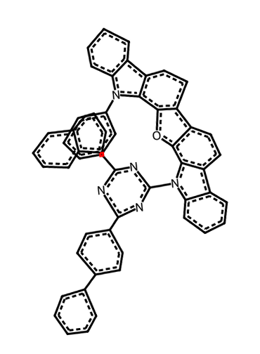 c1ccc(-c2ccc(-c3nc(-c4ccccc4)nc(-n4c5ccccc5c5ccc6c7ccc8c9ccccc9n(-c9ccc%10ccccc%10c9)c8c7oc6c54)n3)cc2)cc1